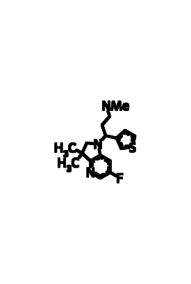 CNCCC(c1ccsc1)N1CC(C)(C)c2ncc(F)cc21